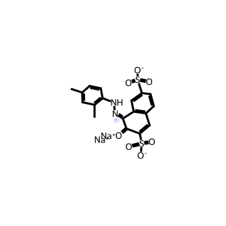 Cc1ccc(N/N=C2/C(=O)C(S(=O)(=O)[O-])=Cc3ccc(S(=O)(=O)[O-])cc32)c(C)c1.[Na+].[Na+]